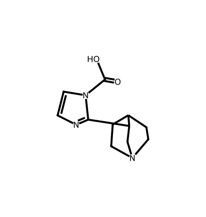 O=C(O)n1ccnc1C1CN2CCC1CC2